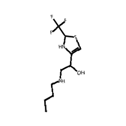 CCCCNCC(O)C1=CSC(C(F)(F)F)N1